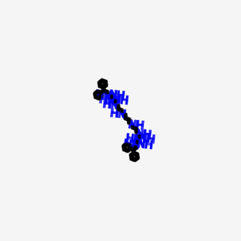 N=C(NCCCNCCCCNCCCNC(=N)NC(=N)NCC(c1ccccc1)c1ccccc1)NC(=N)NCC(c1ccccc1)c1ccccc1